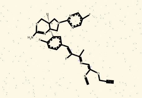 C#CCO/C(=C/N=C(C)/C(F)=C/c1ccc(F)c([C@@]23CN(c4ncc(F)cn4)C[C@@H]2CSC(N)=N3)c1)N=C